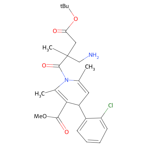 COC(=O)C1=C(C)N(C(=O)C(C)(CN)CC(=O)OC(C)(C)C)C(C)=CC1c1ccccc1Cl